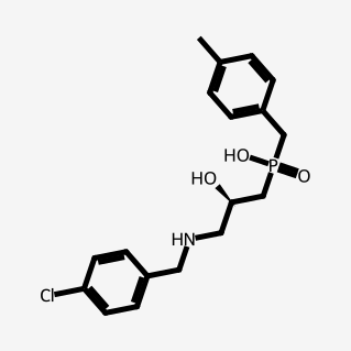 Cc1ccc(CP(=O)(O)C[C@H](O)CNCc2ccc(Cl)cc2)cc1